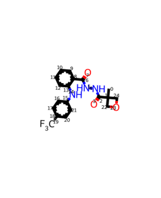 CC1(C(=O)NNC(=O)c2ccccc2Nc2ccc(C(F)(F)F)cc2)COC1